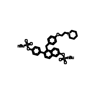 CCCCS(=O)(=O)Oc1ccc(-c2ccc3cc(OS(=O)(=O)CCCC)ccc3c2Cc2ccc(OCCN3CCCCC3)cc2)cc1